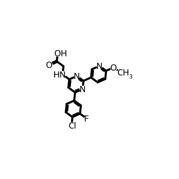 COc1ccc(-c2nc(NCC(=O)O)cc(-c3ccc(Cl)c(F)c3)n2)cn1